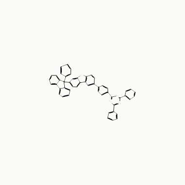 c1ccc(-c2nc(-c3ccccc3)nc(-c3ccc(-c4ccc5oc6cc(C7(c8ccccc8)c8ccccc8-c8ccccc87)ccc6c5c4)cc3)n2)cc1